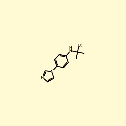 CCC(C)(C)Nc1ccc(-n2ccnc2)cc1